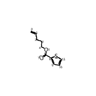 C=CCCCOC(=O)c1cccs1